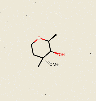 CO[C@]1(C)CCO[C@@H](C)[C@H]1O